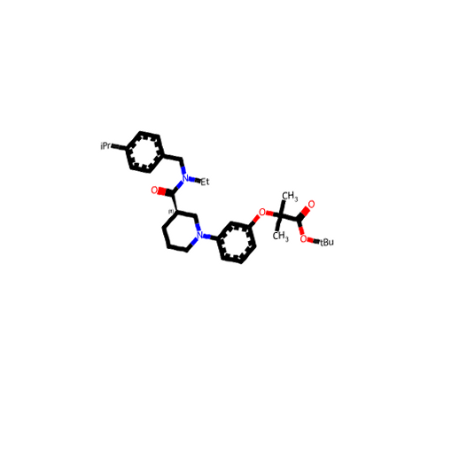 CCN(Cc1ccc(C(C)C)cc1)C(=O)[C@@H]1CCCN(c2cccc(OC(C)(C)C(=O)OC(C)(C)C)c2)C1